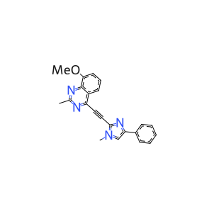 COc1cccc2c(C#Cc3nc(-c4ccccc4)cn3C)nc(C)nc12